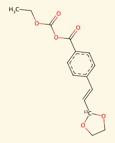 CCOC(=O)OC(=O)c1ccc(C=C[13CH]2OCCO2)cc1